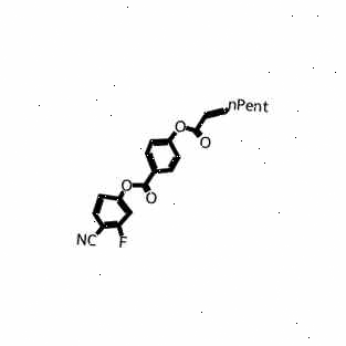 CCCCC/C=C/C(=O)Oc1ccc(C(=O)Oc2ccc(C#N)c(F)c2)cc1